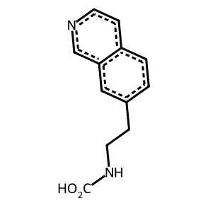 O=C(O)NCCc1ccc2ccncc2c1